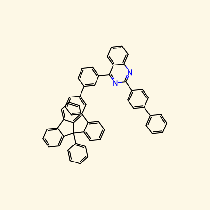 c1ccc(-c2ccc(-c3nc(-c4cccc(-c5cccc(-c6ccccc6C6(c7ccccc7)c7ccccc7-c7ccccc76)c5)c4)c4ccccc4n3)cc2)cc1